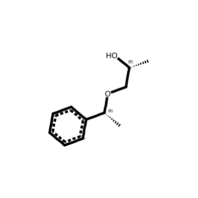 C[C@@H](O)CO[C@H](C)c1[c]cccc1